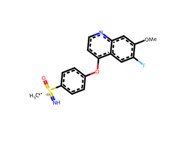 COc1cc2nccc(Oc3ccc([S@@](C)(=N)=O)cc3)c2cc1F